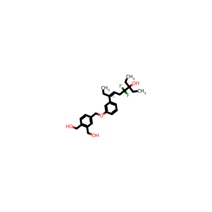 CC/C(=C/CC(F)(F)C(O)(CC)CC)c1cccc(OCc2ccc(CO)c(CO)c2)c1